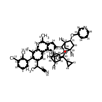 Cc1nc2c(F)c(-c3cccc(Cl)c3Cl)c(C(C)C#N)cc2c2c1cc([C@H]1[C@H]3C[C@H](C[C@@H]3Oc3cccnc3)N1C(=O)C1CC1)n2[C@H]1[C@H]2CN[C@@H]1C2